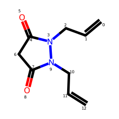 C=CCN1C(=O)CC(=O)N1CC=C